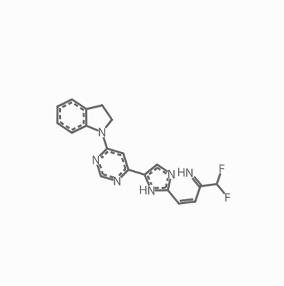 N=C(/C=C\c1ncc(-c2cc(N3CCc4ccccc43)ncn2)[nH]1)C(F)F